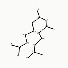 C[C](CCCCC(C)C)CC(C)CCCC(C)C